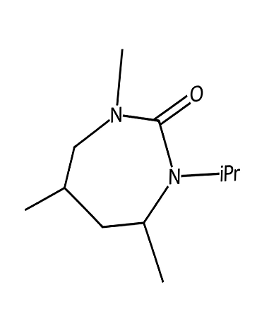 CC1CC(C)N(C(C)C)C(=O)N(C)C1